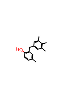 Cc1ccc(O)c(Cc2cc(C)c(C)c(C)c2)c1